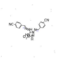 N#Cc1ccc(/C=N/NC(=N)N/N=C/c2ccc(C#N)cc2)cc1.O=[N+]([O-])O